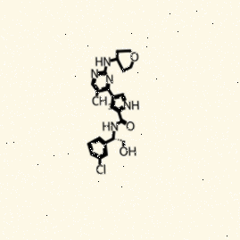 Cc1cnc(NC2CCOCC2)nc1-c1c[nH]c(C(=O)N[C@H](CO)c2cccc(Cl)c2)c1